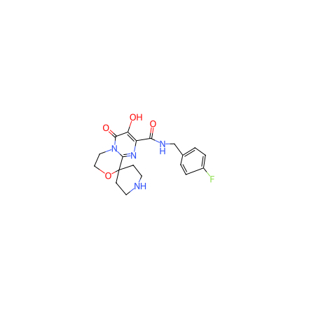 O=C(NCc1ccc(F)cc1)c1nc2n(c(=O)c1O)CCOC21CCNCC1